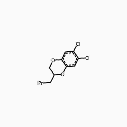 CC(C)CC1COc2cc(Cl)c(Cl)cc2O1